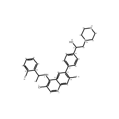 CC(Nc1c(Cl)cnc2cc(F)c(-c3ccc(C(O)CN4CCOCC4)cc3)cc12)c1ccccc1F